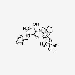 CCCC(C)(C)OC(=O)N1CCCC12CN([C@H](C(=O)NCc1nnco1)[C@@H](C)O)[S+]2[O-]